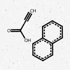 C#CC(=O)O.c1ccc2ccccc2c1